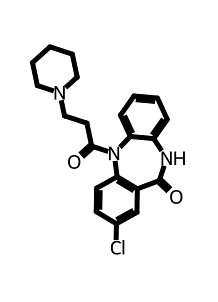 O=C1Nc2ccccc2N(C(=O)CCN2CCCCC2)c2ccc(Cl)cc21